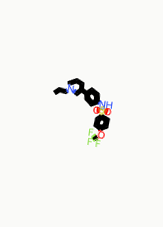 CCCN1CCCC(c2ccc(NS(=O)(=O)c3ccc(OC(F)(F)F)cc3)cc2)C1